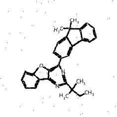 CCC(C)(C)c1nc(-c2ccc3c(c2)-c2ccccc2C3(C)C)c2oc3ccccc3c2n1